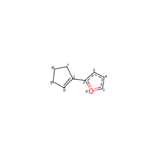 C1=C(c2ccco2)CCC1